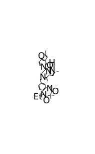 CCN1C(=O)C(C)(C)C(=O)N(C)c2cc(CN(CCn3ccc4oc(C)cc4c3=O)C(C)c3cc(C)[nH]n3)ccc21